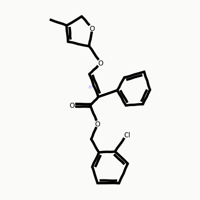 CC1=CC(O/C=C(/C(=O)OCc2ccccc2Cl)c2ccccc2)OC1